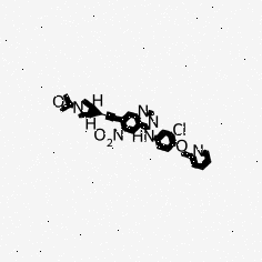 O=[N+]([O-])c1cc2c(Nc3ccc(OCc4ccccn4)c(Cl)c3)ncnc2cc1C#C[C@@H]1[C@H]2CN(C3COC3)C[C@@H]12